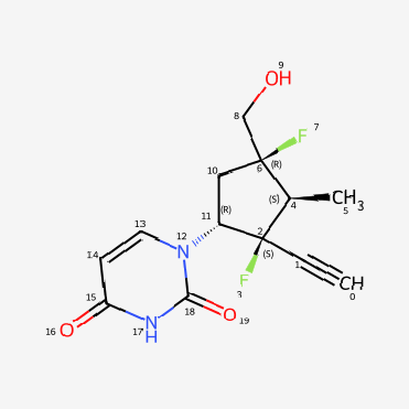 C#C[C@@]1(F)[C@H](C)[C@@](F)(CO)C[C@H]1n1ccc(=O)[nH]c1=O